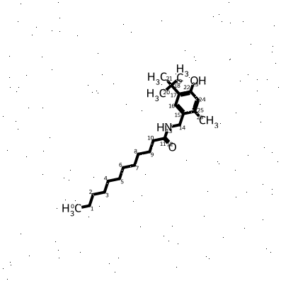 CCCCCCCCCCCC(=O)NCc1cc(C(C)(C)C)c(O)cc1C